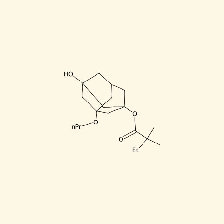 CCCOC12CC3CC(O)(C1)CC(OC(=O)C(C)(C)CC)(C3)C2